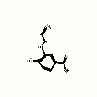 C=CCOc1cc(C(=O)O)ccc1C